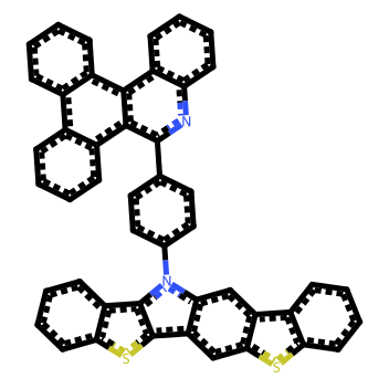 c1ccc2c(c1)nc(-c1ccc(-n3c4cc5c(cc4c4sc6ccccc6c43)sc3ccccc35)cc1)c1c3ccccc3c3ccccc3c21